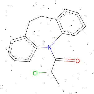 CC(Cl)C(=O)N1c2ccccc2CCc2ccccc21